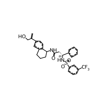 C=C(CO)c1ccc2c(c1)CCCC2NC(=O)C[C@@H](NS(=O)(=O)c1cccc(C(F)(F)F)c1)c1ccccc1